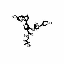 CC(C)(O)C(F)CNC(=O)c1cnc(-c2ccc3cc(C#N)cnn23)cc1Nc1cnn(C2CCNC2)c1